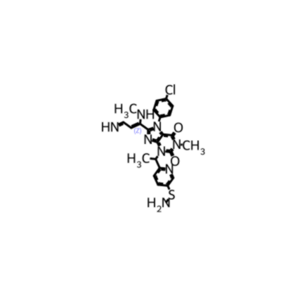 CN/C(=C\C=N)c1nc2c(c(=O)n(C)c(=O)n2C(C)c2ccc(SN)cn2)n1-c1ccc(Cl)cc1